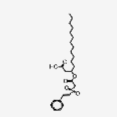 CCCCCCCCCCCCC(CC(=O)O)OC(=O)CS(=O)(=O)C=Cc1ccccc1